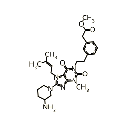 COC(=O)Cc1cccc(CCn2c(=O)c3c(nc(N4CCCC(N)C4)n3CC=C(C)C)n(C)c2=O)c1